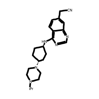 CC(C)N1CCN([C@H]2CC[C@H](Nc3ncnc4cc(CC#N)ccc34)CC2)CC1